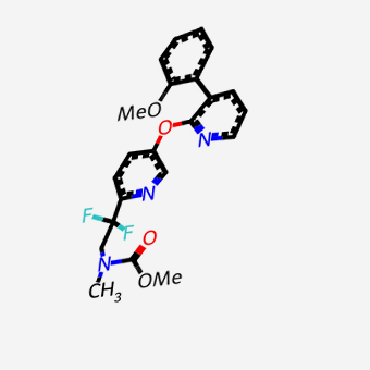 COC(=O)N(C)CC(F)(F)c1ccc(Oc2ncccc2-c2ccccc2OC)cn1